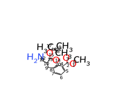 COC(=O)c1cccc(CC(CN)C(=O)OC(C)(C)C)c1